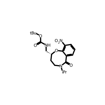 CC(C)N1CC[C@H](CNC(=O)OC(C)(C)C)Oc2c(cccc2[N+](=O)[O-])C1=O